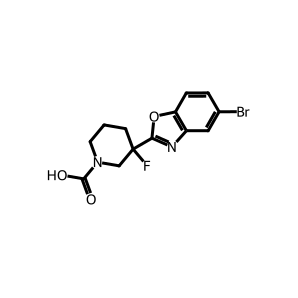 O=C(O)N1CCCC(F)(c2nc3cc(Br)ccc3o2)C1